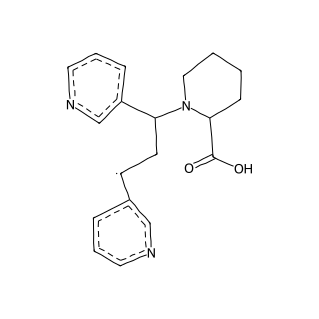 O=C(O)C1CCCCN1C(C[CH]c1cccnc1)c1cccnc1